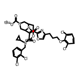 CC(C)(C)OC(=O)N1CC2CC(c3nc(CCCOc4c(Cl)cccc4Cl)co3)=C(C(=O)N(Cc3cccc(Cl)c3Cl)C3CC3)C(C1)N2C(=O)OC(C)(C)C